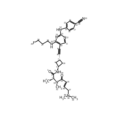 C[C@@H](C(=O)N[C@H]1C[C@H](C#Cc2cnc(Nc3ccc(C#N)cc3)nc2NCCCF)C1)N(C)C(=O)/C=C/CN(C)C